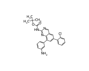 CC(C)(C)OC(=O)Nc1ncc2cc(-c3ccccc3Cl)cc(-c3cccc(N)c3)c2n1